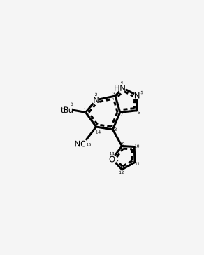 CC(C)(C)c1nc2[nH]ncc2c(-c2ccco2)c1C#N